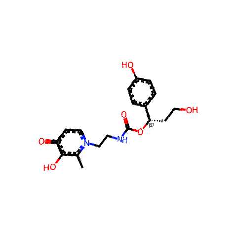 Cc1c(O)c(=O)ccn1CCNC(=O)O[C@@H](CCO)c1ccc(O)cc1